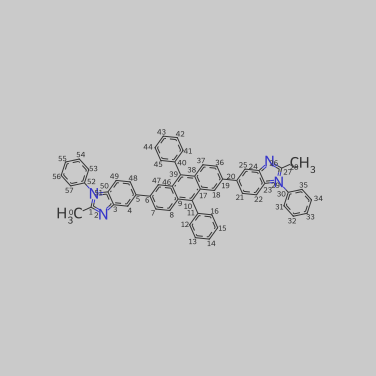 Cc1nc2cc(-c3ccc4c(-c5ccccc5)c5cc(-c6ccc7c(c6)nc(C)n7-c6ccccc6)ccc5c(-c5ccccc5)c4c3)ccc2n1-c1ccccc1